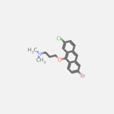 CN(C)CCCOc1c2ccc(Br)cc2cc2ccc(Cl)cc12